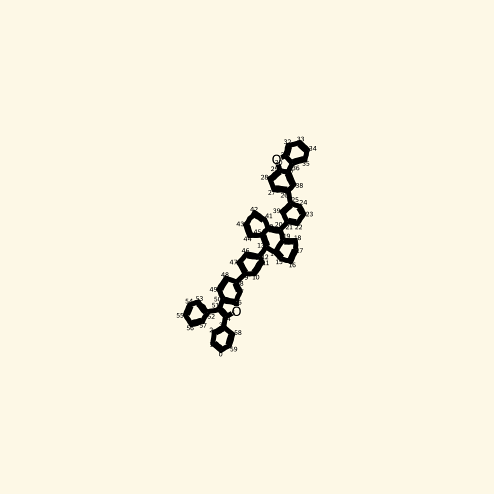 c1ccc(-c2oc3cc(-c4ccc(-c5c6ccccc6c(-c6cccc(-c7ccc8oc9ccccc9c8c7)c6)c6ccccc56)cc4)ccc3c2-c2ccccc2)cc1